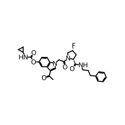 CC(=O)c1cn(CC(=O)N2C[C@H](F)C[C@H]2C(=O)NCCCc2ccccc2)c2ccc(OC(=O)NC3CC3)cc12